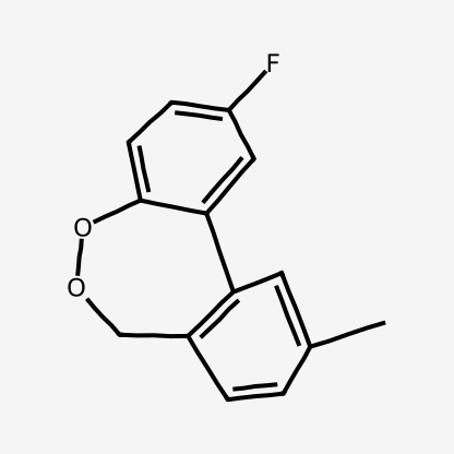 Cc1ccc2c(c1)-c1cc(F)ccc1OOC2